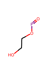 O=POCCO